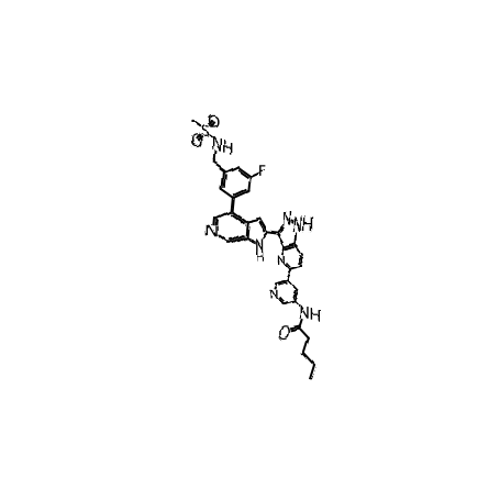 CCCCC(=O)Nc1cncc(-c2ccc3[nH]nc(-c4cc5c(-c6cc(F)cc(CNS(C)(=O)=O)c6)cncc5[nH]4)c3n2)c1